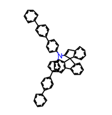 C1=C(N(c2ccc(-c3ccc(-c4ccccc4)cc3)cc2)c2ccc(-c3ccc(-c4ccccc4)cc3)cc2)C2(c3ccccc31)c1ccccc1-c1ccccc12